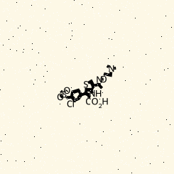 CC(=NOCCN(C)C)c1csc2c(-c3ccc(CS(C)(=O)=O)c(Cl)c3)c(C(=O)O)[nH]c12